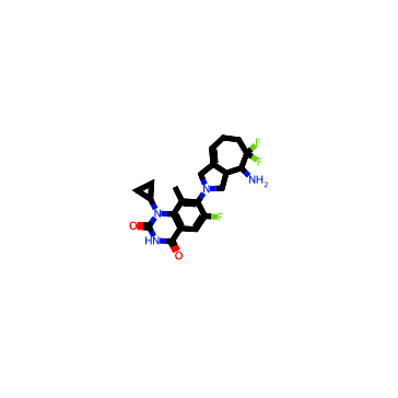 Cc1c(N2CC3=CCCC(F)(F)C(N)C3C2)c(F)cc2c(=O)[nH]c(=O)n(C3CC3)c12